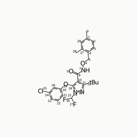 Cc1ccc(CONC(=O)c2c(C(C)(C)C)nn(C(F)F)c2Oc2cccc(Cl)c2)c(C)c1